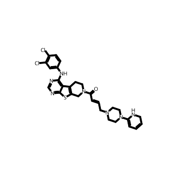 O=C(/C=C/CN1CCN(C2=CC=CCN2)CC1)N1CCc2c(sc3ncnc(Nc4ccc(Cl)c(Cl)c4)c23)C1